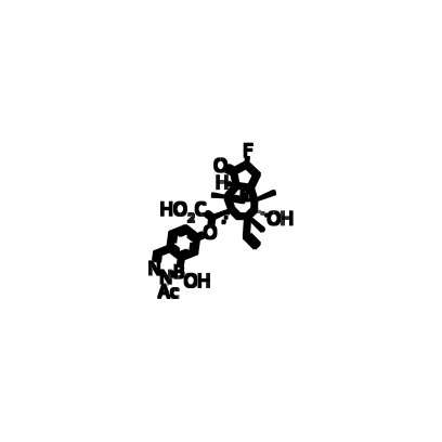 C=C[C@]1(C)C[C@@H](C(Oc2ccc3c(c2)B(O)N(C(C)=O)N=C3)C(=O)O)[C@@]2(C)[C@H](C)CC[C@]3(C[C@H](F)C(=O)[C@H]32)[C@@H](C)[C@@H]1O